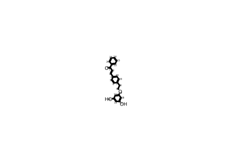 O=C(/C=C/c1ccc(CCOc2cc(O)cc(O)c2)cc1)c1ccccc1